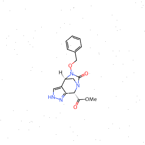 COC(=O)[C@@H]1c2n[nH]cc2[C@@H]2CN1C(=O)N2OCc1ccccc1